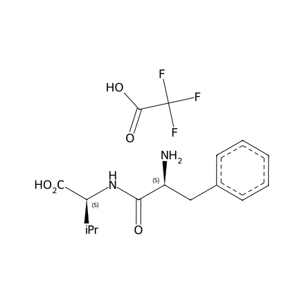 CC(C)[C@H](NC(=O)[C@@H](N)Cc1ccccc1)C(=O)O.O=C(O)C(F)(F)F